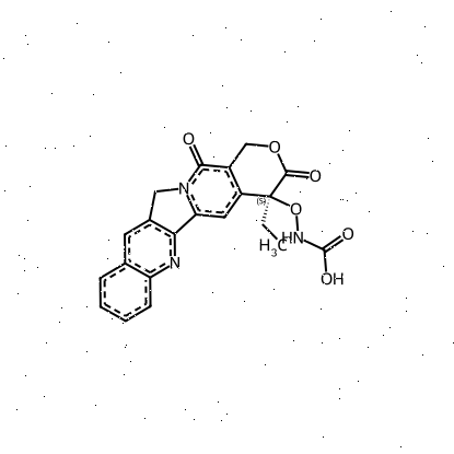 CC[C@@]1(ONC(=O)O)C(=O)OCc2c1cc1n(c2=O)Cc2cc3ccccc3nc2-1